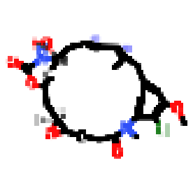 COc1cc2cc(c1Cl)N(C)C(=O)CCC1O[C@H]1CC1C[C@](O)(C/C=C/C=C(\C)C2)NC(=O)O1